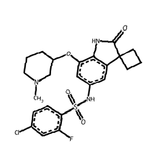 CN1CCCC(Oc2cc(NS(=O)(=O)c3ccc(Cl)cc3F)cc3c2NC(=O)C32CCC2)C1